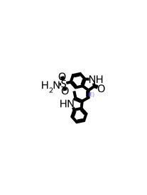 Cc1[nH]c2ccccc2c1/C=C1/C(=O)Nc2ccc(S(N)(=O)=O)cc21